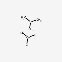 CP(C)C.[Cl][Co]([Cl])[Cl]